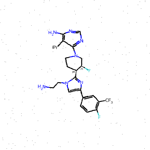 CC(C)c1c(N)ncnc1N1CC[C@H](c2nc(-c3ccc(F)c(C(F)(F)F)c3)cn2CCN)[C@H](F)C1